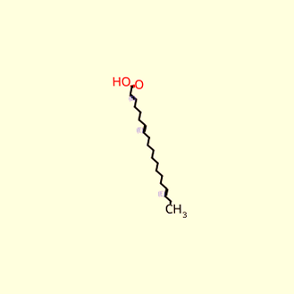 CC/C=C/CCCCCCCC/C=C/CCC/C=C/C(=O)O